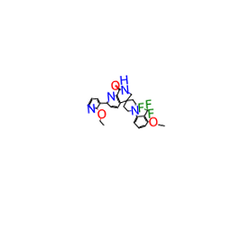 CCOc1cccc(N2CCC3(CC2)CNC(=O)c2nc(-c4cccnc4OCC)ccc23)c1C(F)(F)F